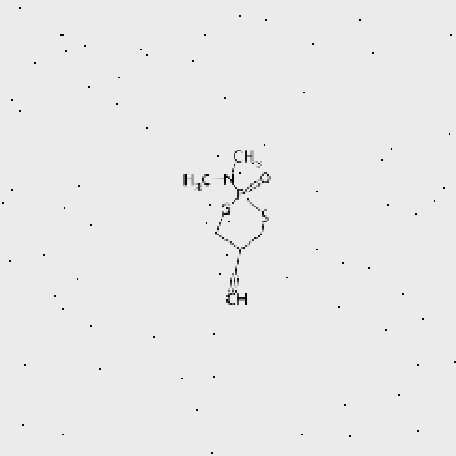 C#CC1CSP(=O)(N(C)C)SC1